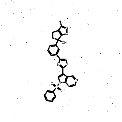 Cc1noc2c1CCC2(O)c1cccc(-c2csc(-c3cn(S(=O)(=O)c4ccccc4)c4ccncc34)n2)c1